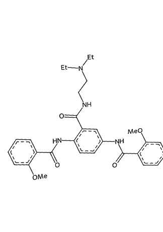 CCN(CC)CCNC(=O)c1cc(NC(=O)c2ccccc2OC)ccc1NC(=O)c1ccccc1OC